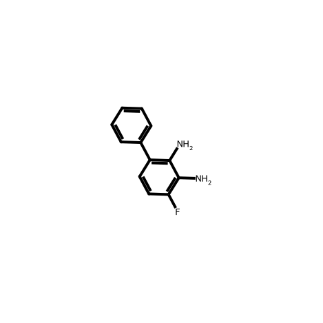 Nc1c(F)ccc(-c2ccccc2)c1N